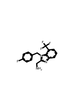 NCc1nc2cccc(C(F)(F)F)c2n1Cc1ccc(F)cc1